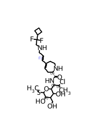 CSC1OC([C@H](NC(=O)[C@@H]2CC=C(/C=C/CNCC(F)(F)C3CCC3)CCN2)[C@H](C)Cl)C(O)C(CO)[C@H]1O